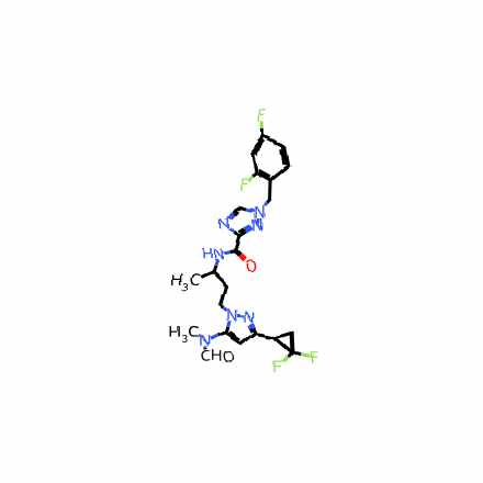 CC(CCn1nc(C2CC2(F)F)cc1N(C)C=O)NC(=O)c1ncn(Cc2ccc(F)cc2F)n1